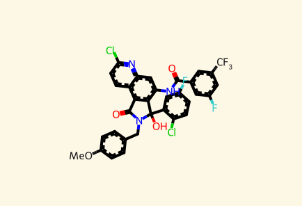 COc1ccc(CN2C(=O)c3c(c(NC(=O)c4cc(F)cc(C(F)(F)F)c4)cc4nc(Cl)ccc34)C2(O)c2cc(F)ccc2Cl)cc1